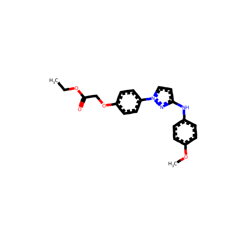 CCOC(=O)COc1ccc(-n2ccc(Nc3ccc(OC)cc3)n2)cc1